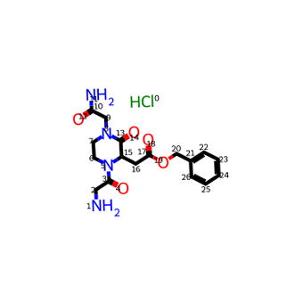 Cl.NCC(=O)N1CCN(CC(N)=O)C(=O)C1CC(=O)OCc1ccccc1